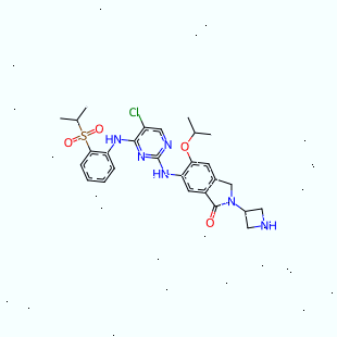 CC(C)Oc1cc2c(cc1Nc1ncc(Cl)c(Nc3ccccc3S(=O)(=O)C(C)C)n1)C(=O)N(C1CNC1)C2